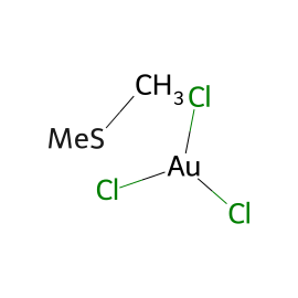 CSC.[Cl][Au]([Cl])[Cl]